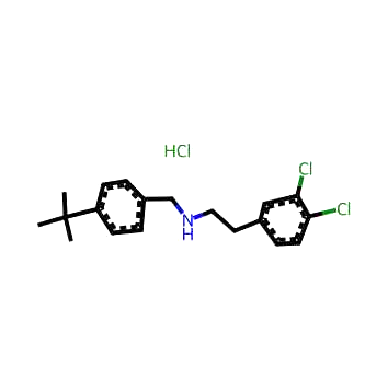 CC(C)(C)c1ccc(CNCCc2ccc(Cl)c(Cl)c2)cc1.Cl